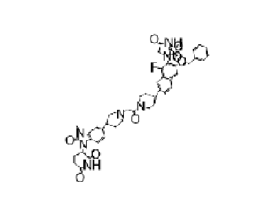 Cn1c(=O)n(C2CCC(=O)NC2=O)c2ccc(C3CCN(CC(=O)N4CC=C(c5ccc6cc(OCc7ccccc7)c(N7CC(=O)NS7(=O)=O)c(F)c6c5)CC4)CC3)cc21